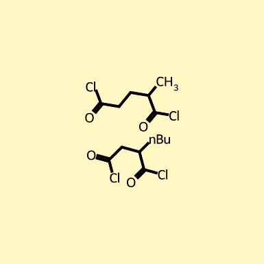 CC(CCC(=O)Cl)C(=O)Cl.CCCCC(CC(=O)Cl)C(=O)Cl